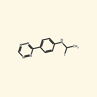 CC(I)Nc1ccc(-c2nncnn2)cc1